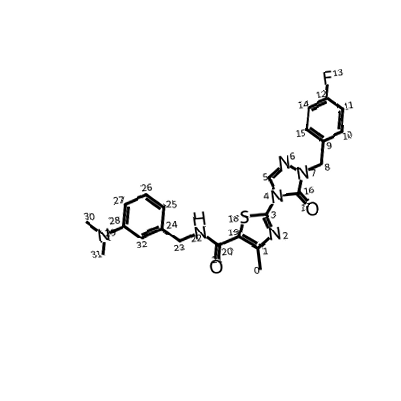 Cc1nc(-n2cnn(Cc3ccc(F)cc3)c2=O)sc1C(=O)NCc1cccc(N(C)C)c1